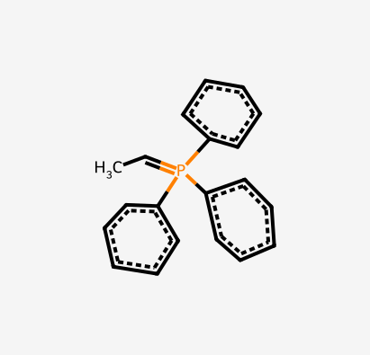 CC=P(c1ccccc1)(c1ccccc1)c1ccccc1